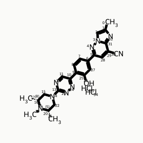 Cc1cn2nc(-c3ccc(-c4cnc(N5C[C@@H](C)N(C)[C@@H](C)C5)nn4)c(O)c3)cc(C#N)c2n1.Cl.Cl